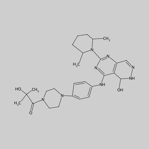 CC1CCCC(C)N1c1nc2c(c(Nc3ccc(N4CCN(C(=O)C(C)(C)O)CC4)cc3)n1)C(O)NN=C2